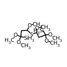 COC(CC([SiH3])(OC)OC)SC(CC([SiH3])(OC)OC)OC